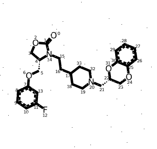 O=C1OC[C@@H](COc2cccc(F)c2)N1CCC1CCN(C[C@H]2COc3ccccc3O2)CC1